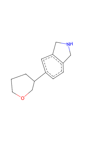 c1cc2c(cc1C1CCCOC1)CNC2